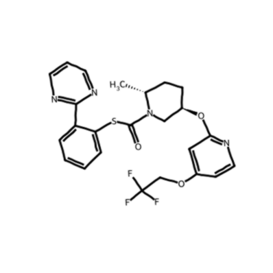 C[C@@H]1CC[C@@H](Oc2cc(OCC(F)(F)F)ccn2)CN1C(=O)Sc1ccccc1-c1ncccn1